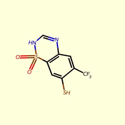 O=S1(=O)NC=Nc2cc(C(F)(F)F)c(S)cc21